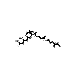 CCC(O)CC(O)CC1OCC(C)(C)[C@H](C(=O)NCCC(=O)NCCSC(=O)CC(C)=O)O1